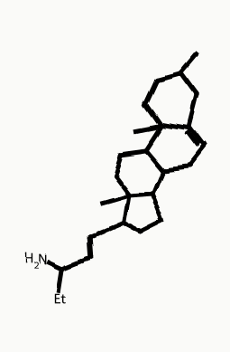 CCC(N)CCC1CCC2C3CC=C4CC(C)CCC4(C)C3CCC12C